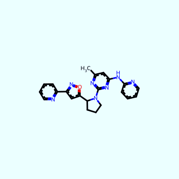 Cc1cc(Nc2ccccn2)nc(N2CCCC2c2cc(-c3ccccn3)no2)n1